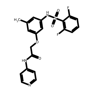 Cc1cc(NS(=O)(=O)c2c(F)cccc2F)cc(OCC(=O)Nc2ccncc2)c1